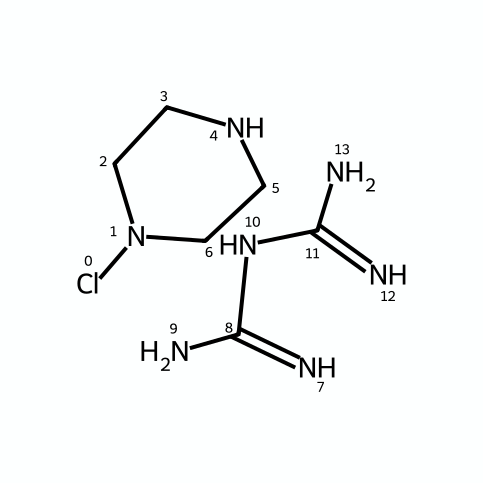 ClN1CCNCC1.N=C(N)NC(=N)N